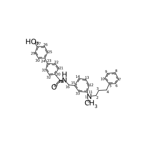 CN(CCCc1ccccc1)c1cccc(CNC(=O)c2ccc(-c3ccc(O)cc3)cc2)c1